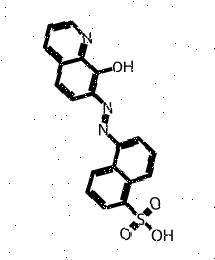 O=S(=O)(O)c1cccc2c(N=Nc3ccc4cccnc4c3O)cccc12